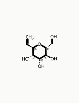 C=C[C@H]1O[C@H](CO)[C@@H](O)[C@H](O)[C@@H]1O